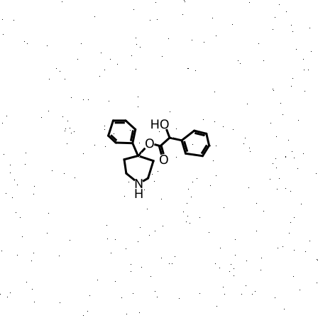 O=C(OC1(c2ccccc2)CCNCC1)C(O)c1ccccc1